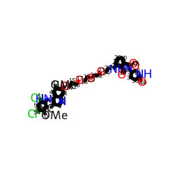 COc1cc(Nc2c(C#N)cnc3cc(OCCCOCCOCCOCCNc4cccc5c4C(=O)N(C4CCC(=O)NC4=O)C5=O)c(OC)cc23)c(Cl)cc1Cl